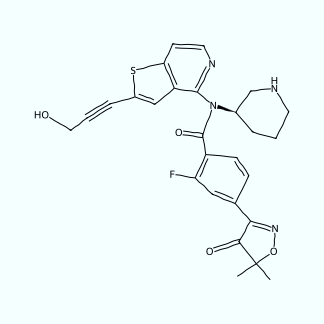 CC1(C)ON=C(c2ccc(C(=O)N(c3nccc4sc(C#CCO)cc34)[C@@H]3CCCNC3)c(F)c2)C1=O